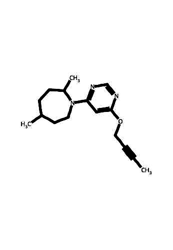 CC#CCOc1cc(N2CCC(C)CCC2C)ncn1